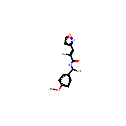 CCCOc1ccc(C(CCC)NC(=O)/C(C#N)=C/c2ccon2)cc1